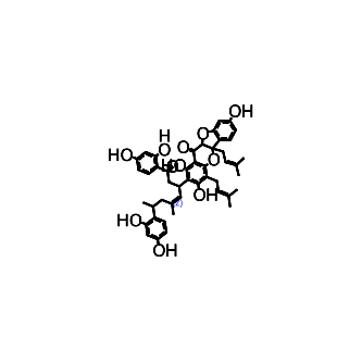 CC(C)=CCc1c(O)c(C(/C=C(/C)CC(C)c2ccc(O)cc2O)CC(=O)c2ccc(O)cc2O)c(O)c2c1OC1(CC=C(C)C)c3ccc(O)cc3OC1C2=O